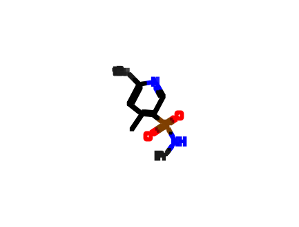 Cc1cc(C(C)(C)C)ncc1S(=O)(=O)NC(C)C